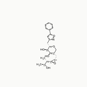 C[C@H]([C@@H]1O[C@H]1C[C@H]1CO[C@@H](Cc2cc(-c3ccccc3)on2)[C@H](O)[C@@H]1O)[C@H](C)O